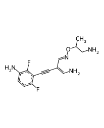 CC(CN)O/N=C/C(C#Cc1c(F)ccc(N)c1F)=C\N